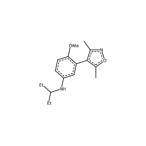 CCC(CC)Nc1ccc(OC)c(-c2c(C)noc2C)c1